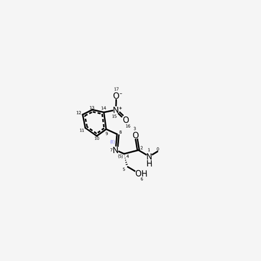 CNC(=O)[C@H](CO)/N=C/c1ccccc1[N+](=O)[O-]